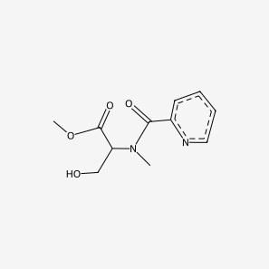 COC(=O)C(CO)N(C)C(=O)c1ccccn1